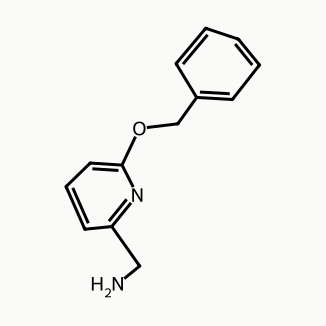 NCc1cccc(OCc2ccccc2)n1